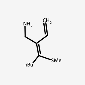 C=C/C(CN)=C(/CCCC)SC